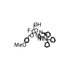 COc1ccc(CO[C@@H]2[C@H](F)[C@@H](CO)O[C@H]2n2cnc3c(NC(c4ccccc4)(c4ccccc4)c4ccccc4)ncnc32)cc1